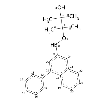 CC(C)(O)C(C)(C)OBc1cc(-c2ccccc2)c2ccccc2c1